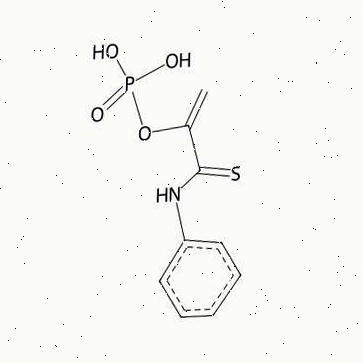 C=C(OP(=O)(O)O)C(=S)Nc1ccccc1